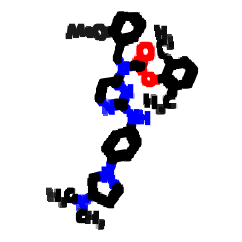 COc1ccccc1CN(C(=O)Oc1c(C)cccc1C)c1ccnc(Nc2ccc(N3CC[C@@H](N(C)C)C3)cc2)n1